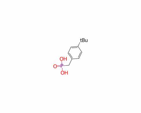 CC(C)(C)c1ccc(CP(=O)(O)O)cc1